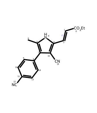 CCOC(=O)/C=C/c1[nH]c(C)c(-c2ccc(C#N)cc2)c1C#N